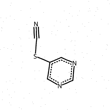 N#CSc1cncnc1